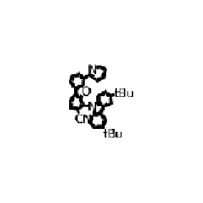 CC(C)(C)c1ccc2c(c1)c1cc(C(C)(C)C)ccc1n2-c1c(C#N)ccc2c1oc1c(-c3ccccn3)cccc12